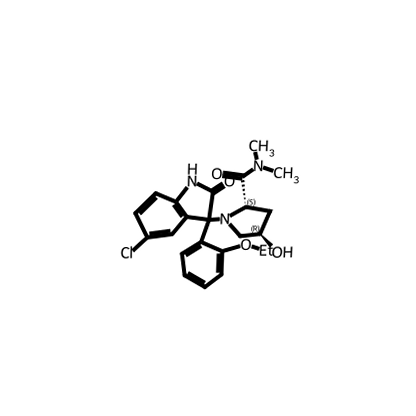 CCOc1ccccc1C1(N2C[C@H](O)C[C@H]2C(=O)N(C)C)C(=O)Nc2ccc(Cl)cc21